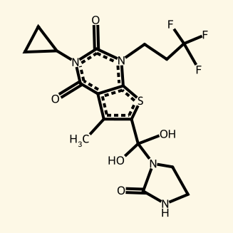 Cc1c(C(O)(O)N2CCNC2=O)sc2c1c(=O)n(C1CC1)c(=O)n2CCC(F)(F)F